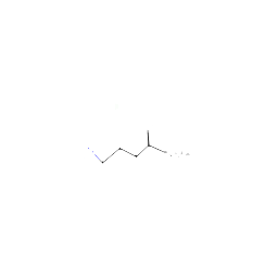 CNC(CCCN)C(=O)O.Cl.Cl